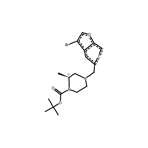 C[C@H]1CN(Cc2ccc3occ(Br)c3c2)CCN1C(=O)OC(C)(C)C